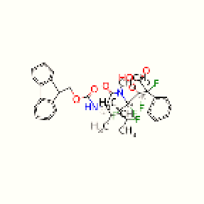 CO[C@@](F)(C(F)(C(=O)O)c1ccccc1)[C@](F)(N(C)C(=O)[C@@H](NC(=O)OCC1c2ccccc2-c2ccccc21)C(C)C)[C@@](C)(F)C(C)F